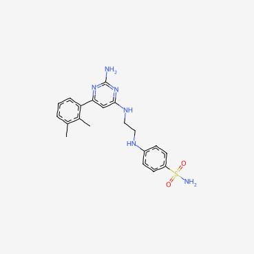 Cc1cccc(-c2cc(NCCNc3ccc(S(N)(=O)=O)cc3)nc(N)n2)c1C